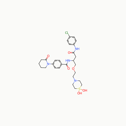 O=C(CC(COCCN1CCS(O)(O)CC1)NC(=O)c1ccc(N2CCCCC2=O)cc1)Nc1ccc(Cl)cc1